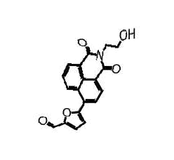 O=Cc1ccc(-c2ccc3c4c(cccc24)C(=O)N(CCO)C3=O)o1